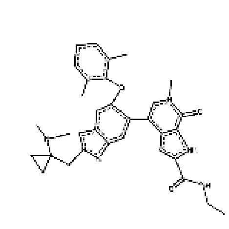 CCNC(=O)c1cc2c(-c3cc4nn(CC5(N(C)C)CC5)cc4cc3Oc3c(C)cccc3C)cn(C)c(=O)c2[nH]1